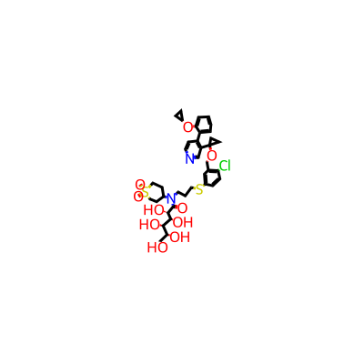 O=C([C@@H](O)[C@@H](O)[C@H](O)[C@@H](O)CO)N(CCCSc1ccc(Cl)c(COC2(c3cnccc3-c3ccccc3OC3CC3)CC2)c1)C1CCS(=O)(=O)CC1